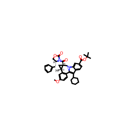 COc1ccc2c(c1)[C@@H]1C[C@]1(C(=O)N1C(=O)OC[C@H]1Cc1ccccc1)Cn1c-2c(C2CCCCC2)c2ccc(C(=O)OC(C)(C)C)cc21